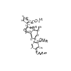 COc1ccc(-c2cc(F)c(NC(=O)c3ccsc3C(=O)O)c(F)c2)c(OC)c1